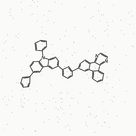 c1ccc(-c2ccc3c(c2)c2cc(-c4cccc(-c5ccc6c(c5)c5ccccc5c5nccnc65)c4)ccc2n3-c2ccccc2)cc1